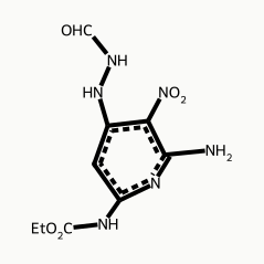 CCOC(=O)Nc1cc(NNC=O)c([N+](=O)[O-])c(N)n1